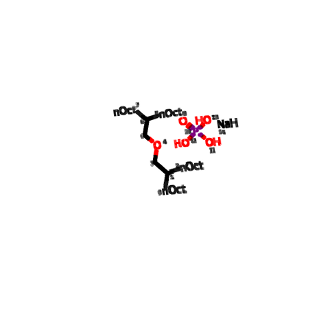 CCCCCCCCC(CCCCCCCC)COCC(CCCCCCCC)CCCCCCCC.O=P(O)(O)O.[NaH]